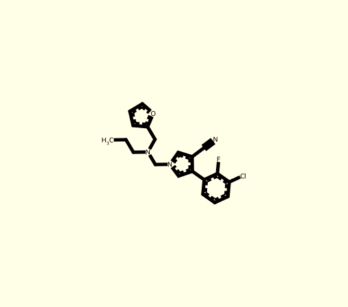 CCCN(Cc1ccco1)Cn1cc(C#N)c(-c2cccc(Cl)c2F)c1